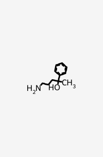 CC(O)(CCCN)c1ccccc1